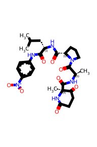 CC(C)C[C@H](NC(=O)[C@@H]1CCCN1C(=O)[C@H](C)NC(=O)[C@]1(C)NC(=O)CCC1=O)C(=O)Nc1ccc([N+](=O)[O-])cc1